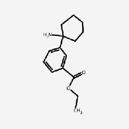 CCOC(=O)c1cccc(C2(N)CCCCC2)c1